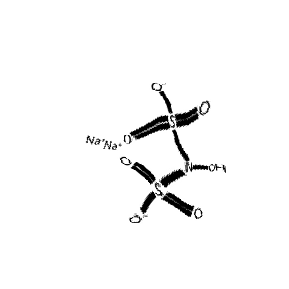 O=S(=O)([O-])N(O)S(=O)(=O)[O-].[Na+].[Na+]